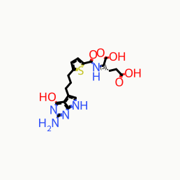 Nc1nc(O)c2c(CCCc3ccc(C(=O)N[C@@H](CCC(=O)O)C(=O)O)s3)c[nH]c2n1